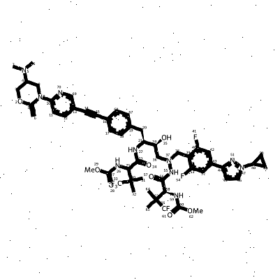 C=C1OCC(N(C)C)CN1c1ccc(C#Cc2ccc(C[C@H](NC(=O)C(NC(=O)OC)C(C)(C)C(F)(F)F)[C@@H](O)CN(Cc3c(F)cc(-c4ccn(C5CC5)n4)cc3F)NC(=O)[C@@H](NC(=O)OC)C(C)(C)C(F)(F)F)cc2)cn1